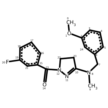 COc1cccc(CN(C)C2=NN(C(=O)c3cccc(F)c3)CC2)c1